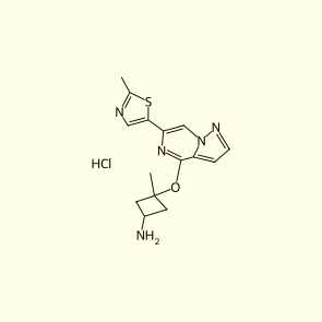 Cc1ncc(-c2cn3nccc3c(OC3(C)CC(N)C3)n2)s1.Cl